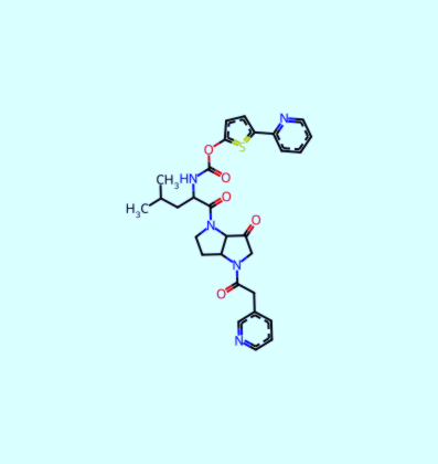 CC(C)CC(NC(=O)Oc1ccc(-c2ccccn2)s1)C(=O)N1CCC2C1C(=O)CN2C(=O)Cc1cccnc1